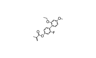 C=C(C)C(=O)Oc1ccc(-c2ccc(OC)cc2OCC)c(F)c1